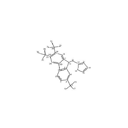 CC(C)(C)c1ccc2c(c1)C(CC1=CC=CC1)c1cc(C(C)(C)C)c(C(C)(C)C)cc1-2